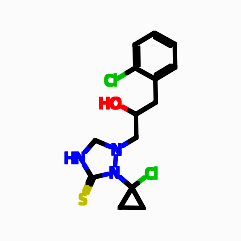 OC(Cc1ccccc1Cl)CN1CNC(=S)N1C1(Cl)CC1